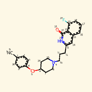 N#Cc1ccc(OC2CCN(CCCc3cc4cccc(F)c4c(=O)[nH]3)CC2)cc1